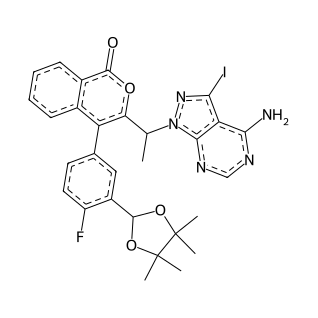 CC(c1oc(=O)c2ccccc2c1-c1ccc(F)c(C2OC(C)(C)C(C)(C)O2)c1)n1nc(I)c2c(N)ncnc21